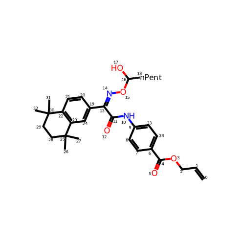 C=CCOC(=O)c1ccc(NC(=O)C(=NOC(O)CCCCC)c2ccc3c(c2)C(C)(C)CCC3(C)C)cc1